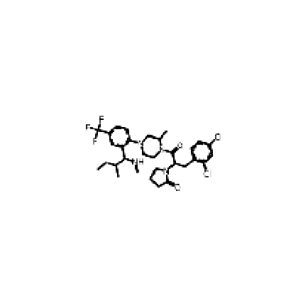 CCC(C)C(NC)c1cc(C(F)(F)F)ccc1N1CCN(C(=O)C(Cc2ccc(Cl)cc2Cl)N2CCCC2=O)C(C)C1